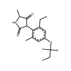 CCc1cc(OC(F)(F)CF)cc(C)c1C1C(=O)NC(C)C1=O